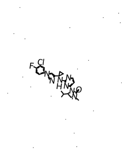 CC(C)C1CN(C)C(=O)N1c1ccnc(NC2(c3cn(-c4ccc(F)c(Cl)c4)cn3)CC2)n1